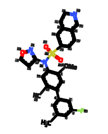 COc1cc(-c2cc(C)cc(F)c2)c(C#N)cc1N(c1ccon1)S(=O)(=O)c1ccc2cnccc2c1